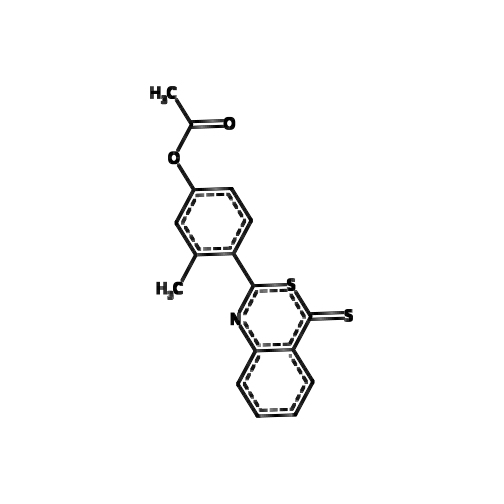 CC(=O)Oc1ccc(-c2nc3ccccc3c(=S)s2)c(C)c1